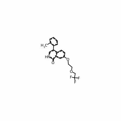 Cc1ccccc1-c1c[nH]c(=O)c2cc(OCCOCC(F)(F)F)ccc12